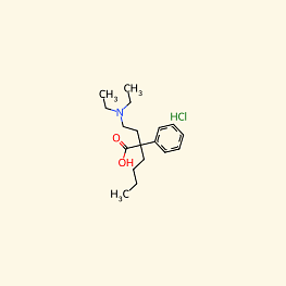 CCCCC(CCN(CC)CC)(C(=O)O)c1ccccc1.Cl